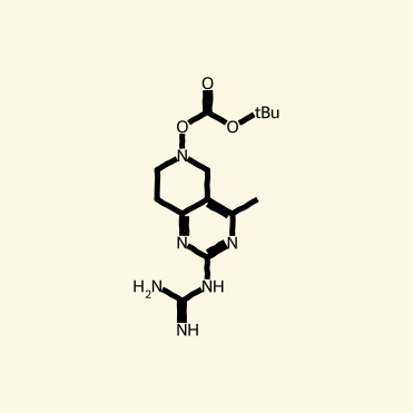 Cc1nc(NC(=N)N)nc2c1CN(OC(=O)OC(C)(C)C)CC2